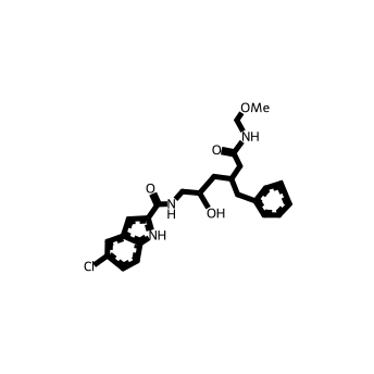 COCNC(=O)CC(Cc1ccccc1)CC(O)CNC(=O)c1cc2cc(Cl)ccc2[nH]1